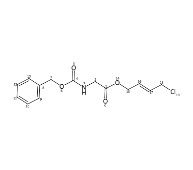 O=C(CNC(=O)OCc1ccccc1)OCC=CCCl